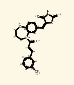 O=C1NC(=S)SC1=Cc1ccc2c(c1)N(C(=O)C=Cc1cccc(C(F)(F)F)c1)CCCO2